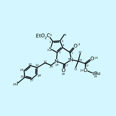 CCOC(=O)c1sc2c(c1C)c(=O)n(C(C)(C)C(=O)OC(C)(C)C)c(=O)n2CCc1ccc(I)cc1